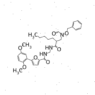 CCCCCC(CN(C=O)OCc1ccccc1)C(=O)NCNC(=O)c1ccc(-c2cc(OC)ccc2OC)o1